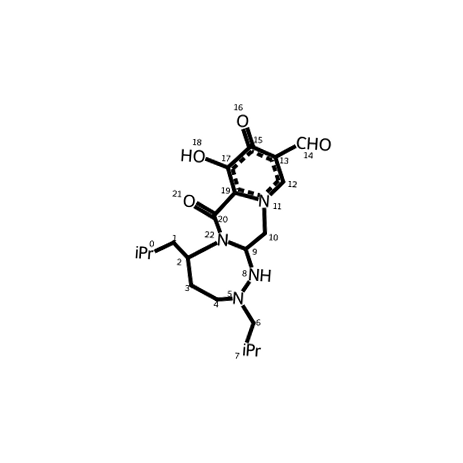 CC(C)CC1CCN(CC(C)C)NC2Cn3cc(C=O)c(=O)c(O)c3C(=O)N12